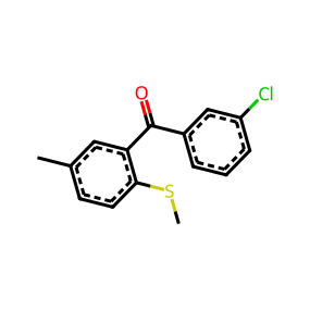 CSc1ccc(C)cc1C(=O)c1cccc(Cl)c1